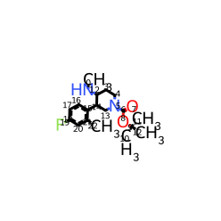 CNC1CCN(C(=O)OC(C)(C)C)CC1c1ccc(F)cc1C